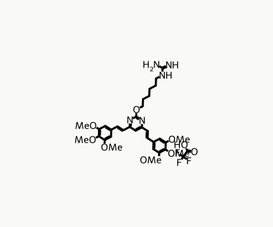 COc1cc(C=Cc2cc(C=Cc3cc(OC)c(OC)c(OC)c3)nc(OCCCCCCNC(=N)N)n2)cc(OC)c1OC.O=C(O)C(F)(F)F